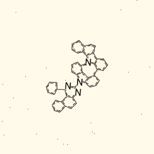 c1ccc(-c2nc(-n3c4cccc5c6cccc7c8ccc9ccccc9c8n(c8cccc3c8c54)c67)nc3ccc4ccccc4c23)cc1